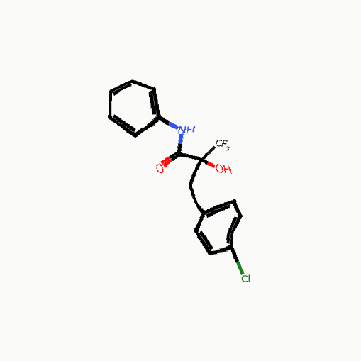 O=C(Nc1ccccc1)C(O)(Cc1ccc(Cl)cc1)C(F)(F)F